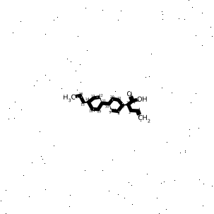 C=CCC(C(=O)O)[C@H]1CC[C@H]([C@H]2CC[C@H](CCC)CC2)CC1